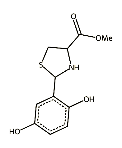 COC(=O)C1CSC(c2cc(O)ccc2O)N1